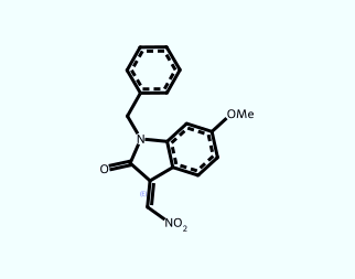 COc1ccc2c(c1)N(Cc1ccccc1)C(=O)/C2=C/[N+](=O)[O-]